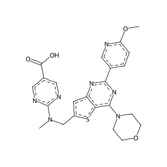 COc1ccc(-c2nc(N3CCOCC3)c3sc(CN(C)c4ncc(C(=O)O)cn4)cc3n2)cn1